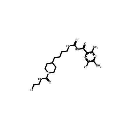 N=C(NCCCCC1CCN(C(=O)NCCO)CC1)NC(=O)c1nc(Cl)c(N)nc1N